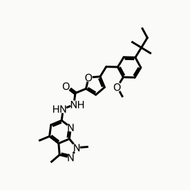 CCC(C)(C)c1ccc(OC)c(Cc2ccc(C(=O)NNc3cc(C)c4c(C)nn(C)c4n3)o2)c1